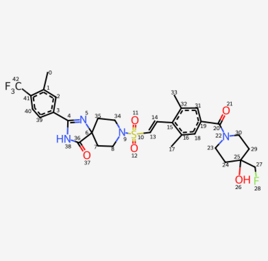 Cc1cc(C2=NC3(CCN(S(=O)(=O)/C=C/c4c(C)cc(C(=O)N5CCC(O)(CF)CC5)cc4C)CC3)C(=O)N2)ccc1C(F)(F)F